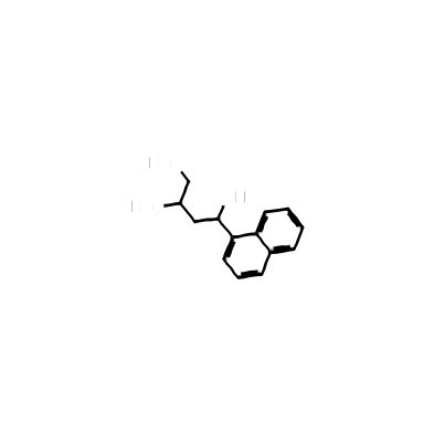 CCC(C)CC(O)c1cccc2ccccc12